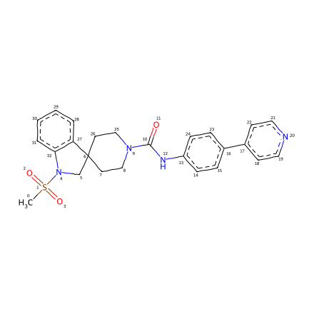 CS(=O)(=O)N1CC2(CCN(C(=O)Nc3ccc(-c4ccncc4)cc3)CC2)c2ccccc21